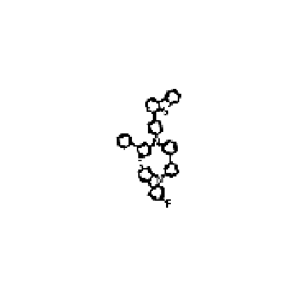 Fc1ccc2c3ccc(F)cc3n(-c3cccc(-c4cccc(N(c5ccc(-c6cccc7c6sc6ccccc67)cc5)c5cccc(-c6ccccc6)c5)c4)c3)c2c1